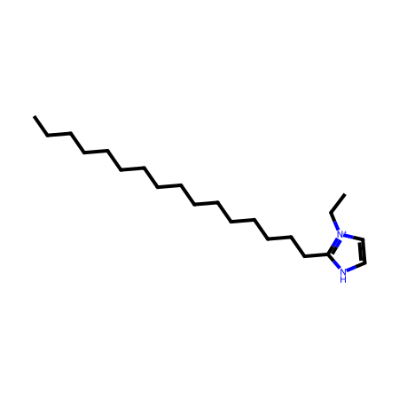 CCCCCCCCCCCCCCCCc1[nH]cc[n+]1CC